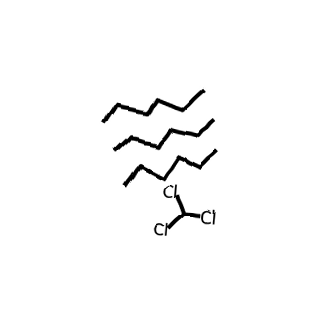 CCCCCC.CCCCCC.CCCCCC.ClC(Cl)Cl